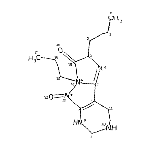 CCCC1N=C2C3=C(NCNC3)[N+](=O)[N+]2(CCC)C1=O